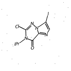 CC(C)n1c(Cl)nn2c(I)cnc2c1=O